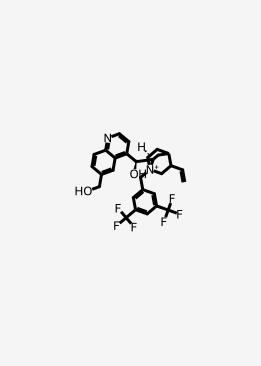 C=CC1C[N+]2(Cc3cc(C(F)(F)F)cc(C(F)(F)F)c3)CCC1C[C@@H]2[C@@H](O)c1ccnc2ccc(CO)cc12